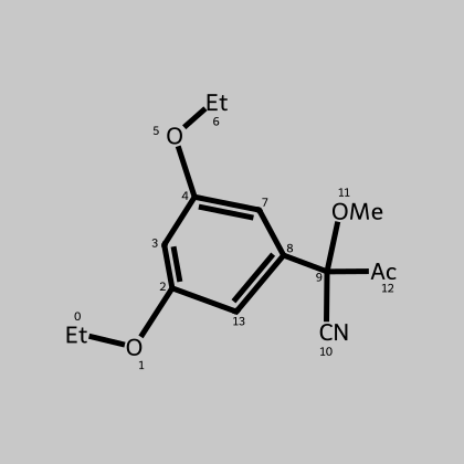 CCOc1cc(OCC)cc(C(C#N)(OC)C(C)=O)c1